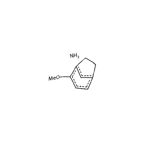 COc1ccc2cc1CC2.N